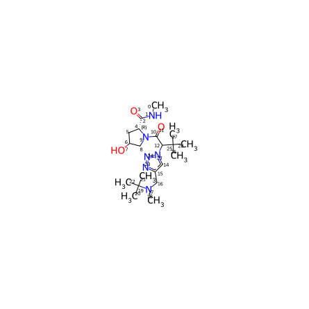 CNC(=O)[C@H]1CC(O)CN1C(=O)C(n1cc(CN(C)C(C)(C)C)nn1)C(C)(C)C